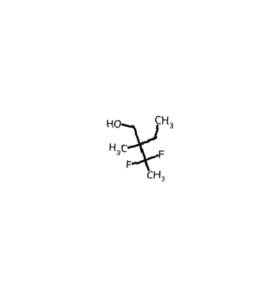 CCC(C)(CO)C(C)(F)F